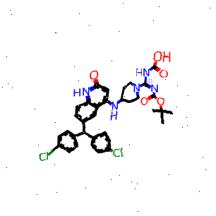 CC(C)(C)OC(=O)/N=C(/NC(=O)O)N1CCC(Nc2cc(=O)[nH]c3ccc(C(c4ccc(Cl)cc4)c4ccc(Cl)cc4)cc23)CC1